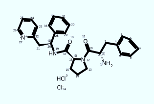 Cl.N[C@@H](Cc1ccccc1)C(=O)N1CCC[C@H]1C(=O)N[C@@H](CC1=CC=CC=[N+]1)c1ccccc1.[Cl-]